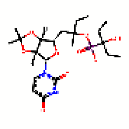 CCC(C)(C[C@H]1O[C@@H](n2ccc(=O)[nH]c2=O)[C@@H]2OC(C)(C)O[C@@H]21)OP(=O)(O)C(O)(CC)CC